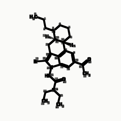 CCCN1CCC[C@@H]2c3cc(C(C)=O)cc4c3c(c(Br)n4NC(=O)N(CC)CC)C[C@H]21